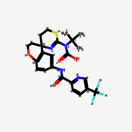 CC(C)(C)N(C(=O)O)C1=NC2(CCOc3ccc(NC(=O)c4ccc(C(F)(F)F)cn4)cc32)CCS1